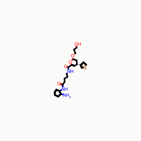 Nc1ccccc1NC(=O)CCCCNC(=O)C1=C[C@@H](c2ccsc2)C[C@@H](OCCCO)O1